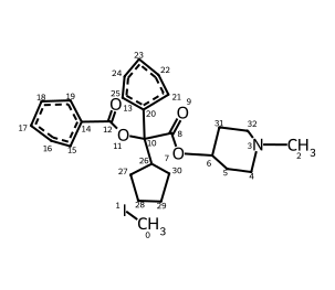 CI.CN1CCC(OC(=O)C(OC(=O)c2ccccc2)(c2ccccc2)C2CCCC2)CC1